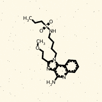 CCCS(=O)(=O)NCCCCn1c(CCOC)nc2c(N)nc3ccccc3c21